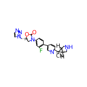 N#C[C@]1(c2ccc(-c3ccc(N4C[C@H](Cn5ccnn5)OC4=O)cc3F)cn2)[C@@H]2CNC[C@@H]21